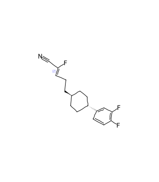 N#C/C(F)=C/CC[C@H]1CC[C@H](c2ccc(F)c(F)c2)CC1